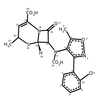 Cc1onc(-c2ccccc2Cl)c1N(C(=O)O)C1C(=O)N2C(C(=O)O)=CC(C)S[C@@H]12